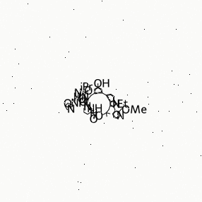 CCn1c(-c2cccnc2COC)c2c3cc(ccc31)-c1cc(O)cc(c1)C[C@H](NC(=O)C(C(C)C)N(C)C(=O)CNC1=NCCO1)C(=O)N1CCC[C@H](N1)C(=O)OCC(C)(C)C2